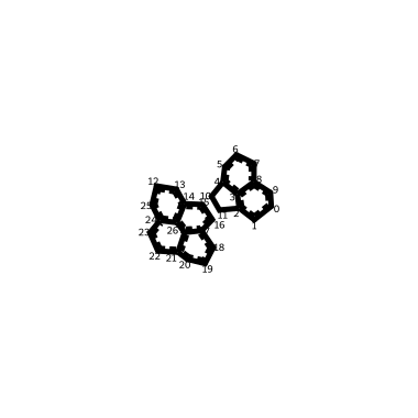 c1cc2c3c(cccc3c1)CC2.c1cc2ccc3cccc4ccc(c1)c2c34